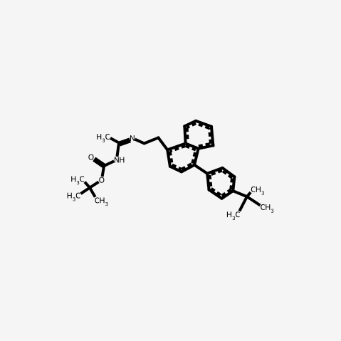 CC(=NCCc1ccc(-c2ccc(C(C)(C)C)cc2)c2ccccc12)NC(=O)OC(C)(C)C